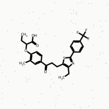 CCc1nc(-c2ccc(C(F)(F)F)cc2)sc1CCC(=O)c1ccc(OC(CC)C(=O)O)c(C)c1